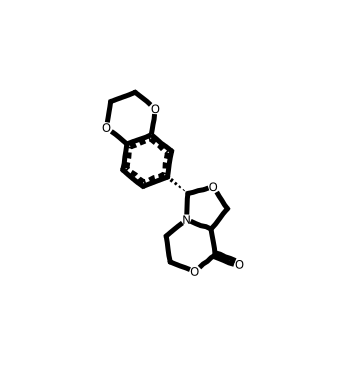 O=C1OCCN2C1CO[C@H]2c1ccc2c(c1)OCCO2